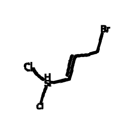 Cl[SiH](Cl)C=CCBr